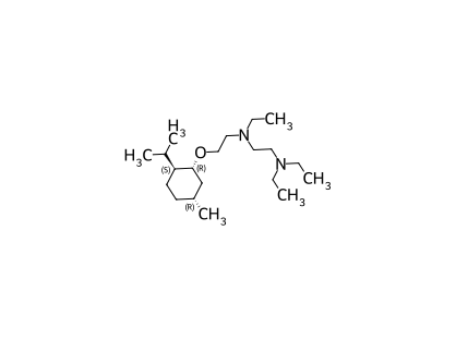 CCN(CC)CCN(CC)CCO[C@@H]1C[C@H](C)CC[C@H]1C(C)C